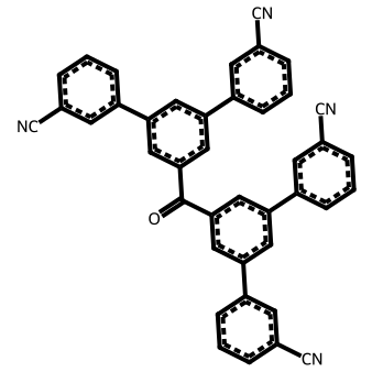 N#Cc1cccc(-c2cc(C(=O)c3cc(-c4cccc(C#N)c4)cc(-c4cccc(C#N)c4)c3)cc(-c3cccc(C#N)c3)c2)c1